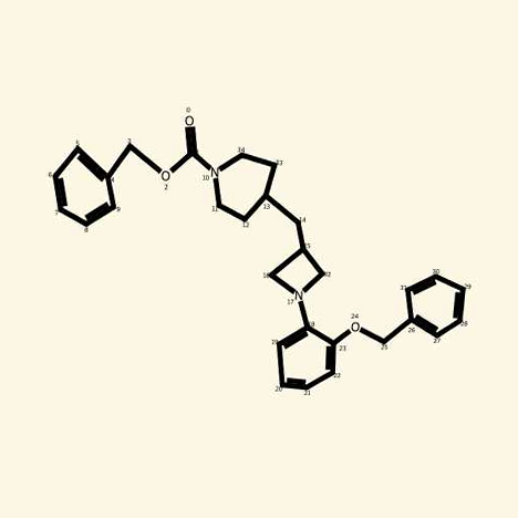 O=C(OCc1ccccc1)N1CCC(CC2CN(c3ccccc3OCc3ccccc3)C2)CC1